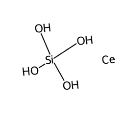 O[Si](O)(O)O.[Ce]